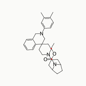 CCOC(=O)N1C2CCC1CC(N1CCC3(CC1)CN(c1ccc(C)c(C)c1)Cc1ccccc13)C2